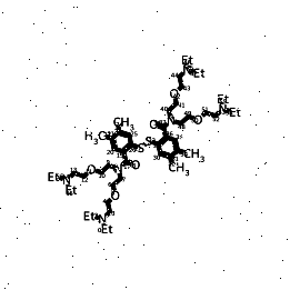 CCN(CC)CCOCCN(CCOCCN(CC)CC)C(=O)c1cc(C)c(C)cc1SSc1cc(C)c(C)cc1C(=O)N(CCOCCN(CC)CC)CCOCCN(CC)CC